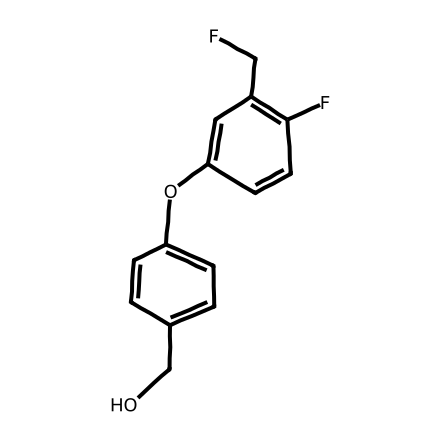 OCc1ccc(Oc2ccc(F)c(CF)c2)cc1